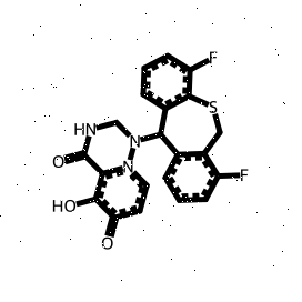 O=C1NCN(C2c3cccc(F)c3CSc3c(F)cccc32)n2ccc(=O)c(O)c21